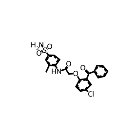 Cc1cc(S(N)(=O)=O)ccc1NC(=O)COc1ccc(Cl)cc1C(=O)c1ccccc1